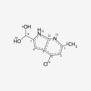 Cc1cc(Cl)c2cc(C(O)O)[nH]c2n1